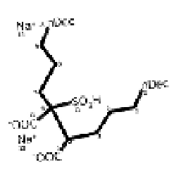 CCCCCCCCCCCCCC(C(=O)[O-])C(CCCCCCCCCCCCC)(C(=O)[O-])S(=O)(=O)O.[Na+].[Na+]